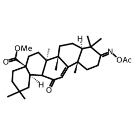 COC(=O)[C@]12CCC(C)(C)C[C@@H]1C1C(=O)C=C3[C@@]4(C)CCC(=NOC(C)=O)C(C)(C)[C@@H]4CC[C@@]3(C)[C@]1(C)CC2